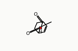 O=C1NC(=O)C2C=CC1CC2